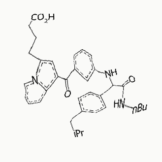 CCCCNC(=O)C(Nc1cccc(C(=O)c2cc(CCCC(=O)O)n3ccccc23)c1)c1ccc(CC(C)C)cc1